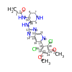 C=CC(=O)N[C@H]1CCNC[C@H]1Nc1ncc2cc(-c3c(Cl)c(OC)cc(OC)c3Cl)ncc2n1